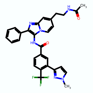 CC(=O)NCCc1ccn2c(NC(=O)c3ccc(C(F)(F)F)c(-c4ccn(C)n4)c3)c(-c3ccccc3)nc2c1